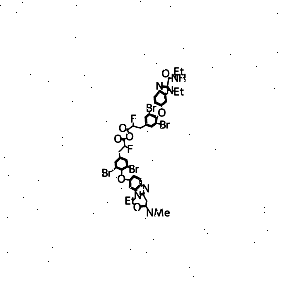 CCNC(=O)c1nc2ccc(Oc3c(Br)cc(CC(F)C(=O)OC(=O)C(F)Cc4cc(Br)c(Oc5ccc6nc(CC(=O)NC)n(CC)c6c5)c(Br)c4)cc3Br)cc2n1CC